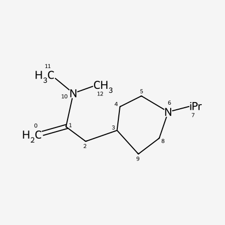 C=C(CC1CCN(C(C)C)CC1)N(C)C